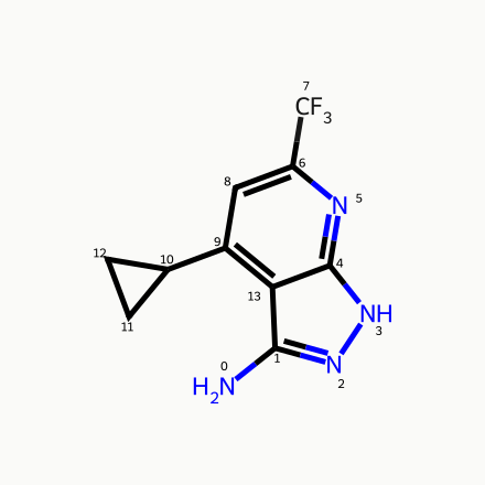 Nc1n[nH]c2nc(C(F)(F)F)cc(C3CC3)c12